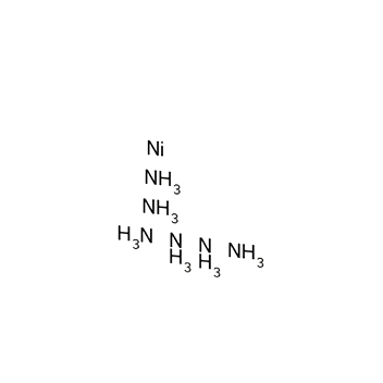 N.N.N.N.N.N.[Ni]